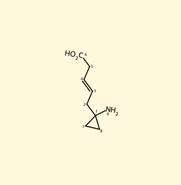 NC1(C/C=C/CC(=O)O)CC1